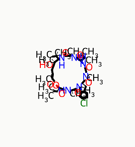 CCC(C)C1NC(=O)CN(C)C(=O)[C@@H](Cc2ccc(Cl)cc2)N(C)C(=O)[C@H](C)NC(=O)[C@@H](CC(C)C)OC(=O)/C(C)=C/C[C@H](O)[C@H](C)[C@@H]([C@@H](C)CC)NC(=O)[C@@H](C)NC1=O